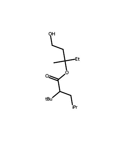 CCC(C)(CCO)OC(=O)C(CC(C)C)C(C)(C)C